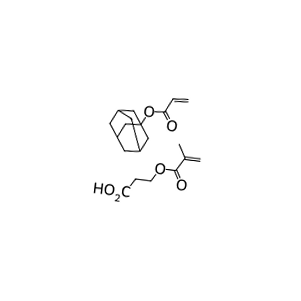 C=C(C)C(=O)OCCC(=O)O.C=CC(=O)OC12CC3CC(CC(C3)C1)C2